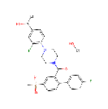 CCC(O)c1ccc(N2CCN(C(=O)c3cc(S(C)(=O)=O)ccc3-c3ccc(F)cc3)CC2)c(F)c1.CCO